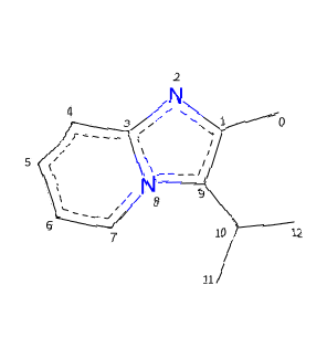 Cc1nc2ccccn2c1C(C)C